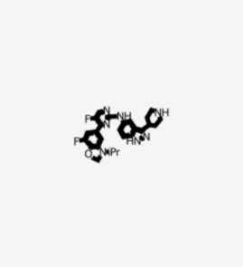 CC(C)N1CCOc2c(F)cc(-c3nc(Nc4ccc5[nH]nc(C6CCNCC6)c5c4)ncc3F)cc21